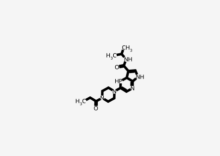 CCC(=O)N1CCN(C2=CN=C3NC=C(C(=O)NC(C)C)C3P2)CC1